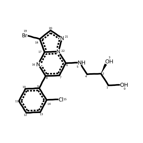 OC[C@H](O)CNc1cc(-c2ccccc2Cl)nc2c(Br)cnn12